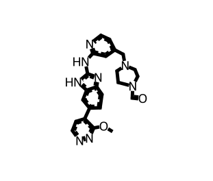 COc1nnccc1-c1ccc2nc(Nc3cc(CN4CCN(C=O)CC4)ccn3)[nH]c2c1